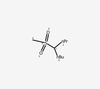 CCCCC(CCC)S(C)(=O)=O